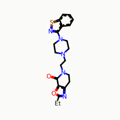 CCc1nc2c(o1)C(=O)N(CCN1CCN(c3nsc4ccccc34)CC1)CC2